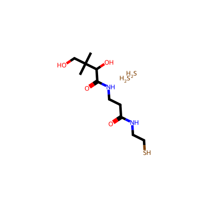 CC(C)(CO)C(O)C(=O)NCCC(=O)NCCS.S.S